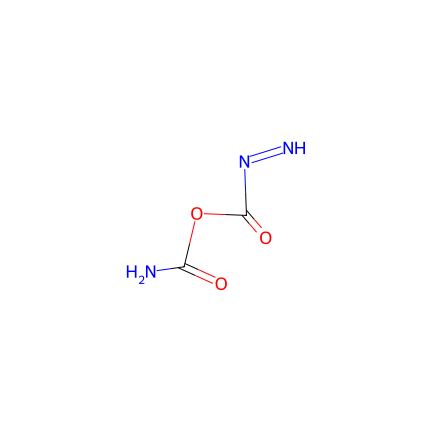 N=NC(=O)OC(N)=O